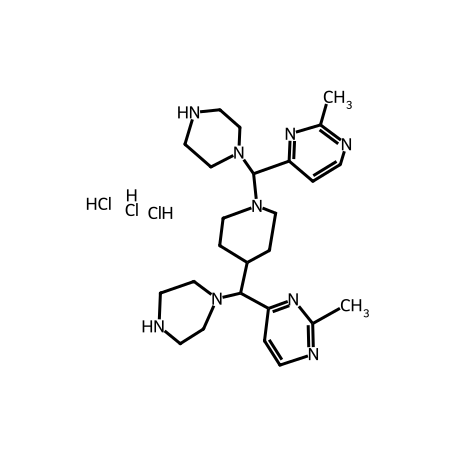 Cc1nccc(C(C2CCN(C(c3ccnc(C)n3)N3CCNCC3)CC2)N2CCNCC2)n1.Cl.Cl.Cl